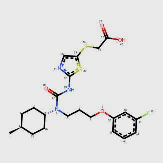 C[C@H]1CC[C@H](N(CCCOc2cccc(F)c2)C(=O)Nc2ncc(SCC(=O)O)s2)CC1